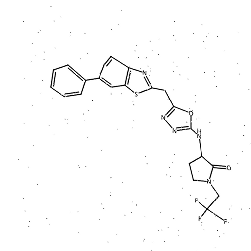 O=C1C(Nc2nnc(Cc3nc4ccc(-c5ccccc5)cc4s3)o2)CCN1CC(F)(F)F